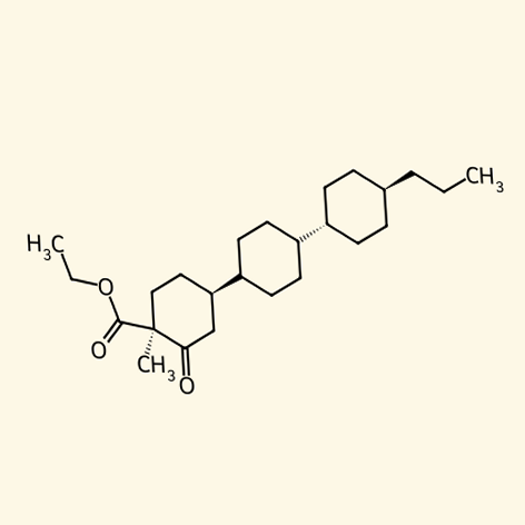 CCC[C@H]1CC[C@H](C2CCC([C@@H]3CC[C@](C)(C(=O)OCC)C(=O)C3)CC2)CC1